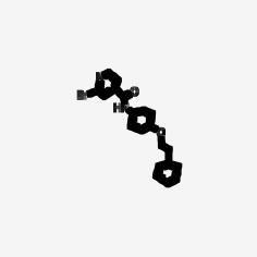 O=C(Nc1ccc(OCCc2ccccc2)cc1)c1ccnc(Br)c1